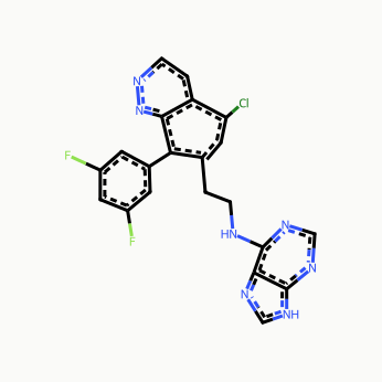 Fc1cc(F)cc(-c2c(CCNc3ncnc4[nH]cnc34)cc(Cl)c3ccnnc23)c1